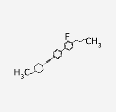 CCCCc1ccc(-c2ccc(C#C[C@H]3CC[C@H](CC)CC3)cc2)cc1F